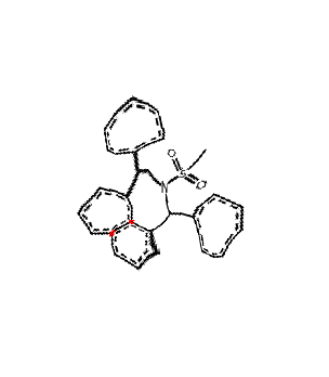 CS(=O)(=O)N(C(c1ccccc1)c1ccccc1)C(c1ccccc1)c1ccccc1